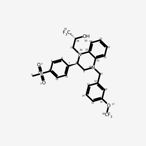 CS(=O)(=O)c1ccc([C@@H]2CN(Cc3cccc(OC(F)(F)F)c3)c3ccccc3N2C[C@@H](O)C(F)(F)F)cc1